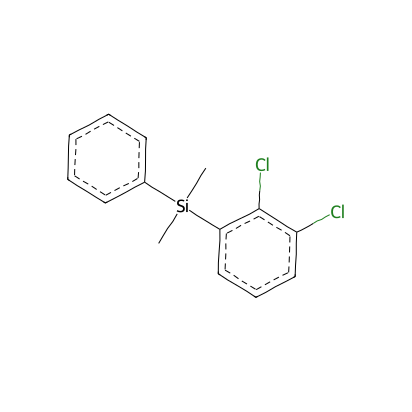 C[Si](C)(c1ccccc1)c1cccc(Cl)c1Cl